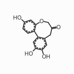 O=C1COc2cc(O)ccc2-c2cc(O)c(O)cc2C1